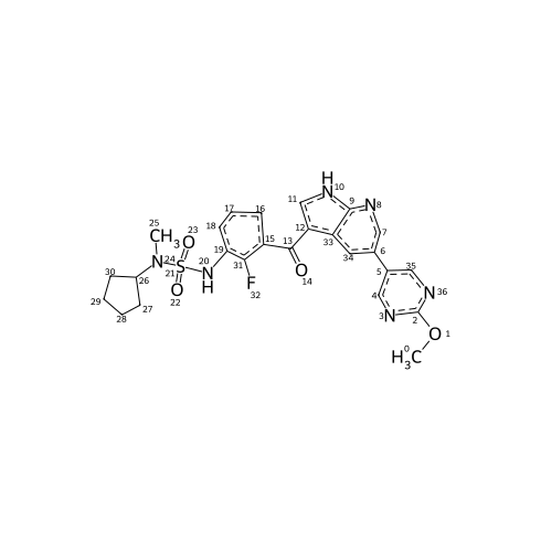 COc1ncc(-c2cnc3[nH]cc(C(=O)c4cccc(NS(=O)(=O)N(C)C5CCCC5)c4F)c3c2)cn1